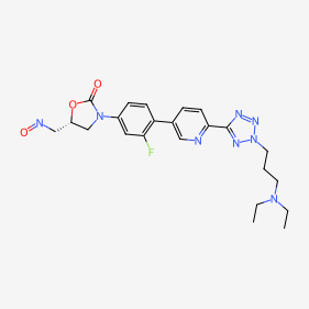 CCN(CC)CCCn1nnc(-c2ccc(-c3ccc(N4C[C@H](CN=O)OC4=O)cc3F)cn2)n1